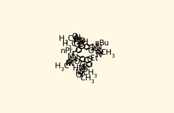 CCCCc1nc2c(cnn2C)c(=O)n1Cc1ccc(-c2ccc(C(CCC)c3nc4cn(C)nc4c(=O)n3Cc3ccc(-c4ccccc4S(=O)(=O)Nc4noc(C)c4C)c(COCC)c3)cc2S(=O)(=O)Nc2noc(C)c2C)c(COCC)c1